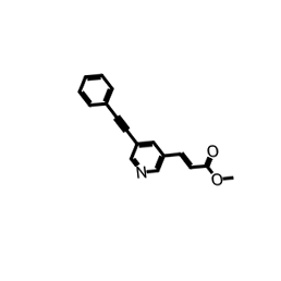 COC(=O)C=Cc1cncc(C#Cc2ccccc2)c1